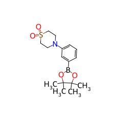 CC1(C)OB(c2cccc(N3CCS(=O)(=O)CC3)c2)OC1(C)C